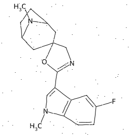 CN1C2CCC1CC1(CN=C(c3cn(C)c4ccc(F)cc34)O1)C2